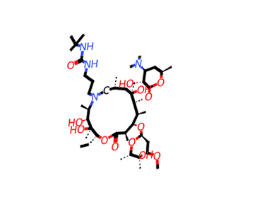 CC[C@H]1OC(=O)[C@H](C)[C@@H](O[C@@H](CCOC)O[C@@H](C)[C@@H](C)O)[C@H](C)[C@@H](O[C@@H]2O[C@H](C)C[C@H](N(C)C)[C@H]2O)[C@](C)(O)C[C@@H](C)CN(CCCNC(=O)NC(C)(C)C)[C@H](C)[C@@H](O)[C@]1(C)O